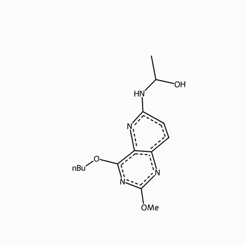 CCCCOc1nc(OC)nc2ccc(NC(C)O)nc12